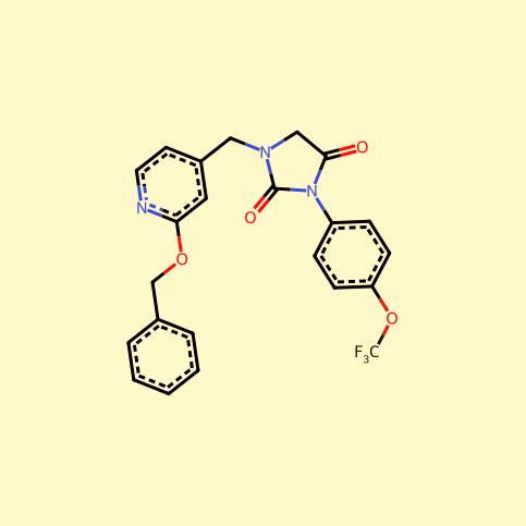 O=C1CN(Cc2ccnc(OCc3ccccc3)c2)C(=O)N1c1ccc(OC(F)(F)F)cc1